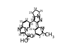 Cc1cccc(-c2nn3c(c2-c2ccc4ncc(C(=O)O)n4c2)CCC3)n1